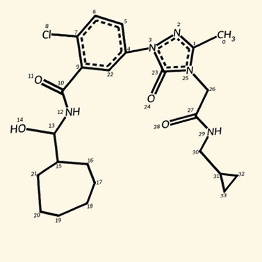 Cc1nn(-c2ccc(Cl)c(C(=O)NC(O)C3CCCCCC3)c2)c(=O)n1CC(=O)NCC1CC1